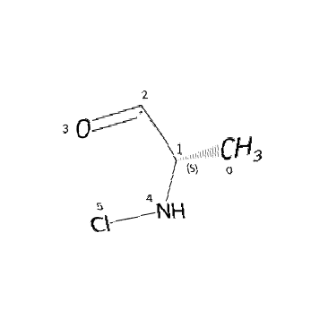 C[C@@H]([C]=O)NCl